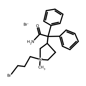 C[N+]1(CCCBr)CCC(C(C(N)=O)(c2ccccc2)c2ccccc2)C1.[Br-]